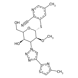 CO[C@H]1C(n2cc(-c3nc(C)cs3)nn2)[C@@H](O)C(CO)O[C@@H]1Sc1cc(C)cnc1C#N